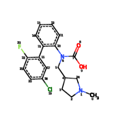 CN1CCC(CN(C(=O)O)c2ccccc2-c2cc(Cl)ccc2F)C1